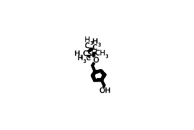 CC(C)(C)[Si](C)(C)OCc1ccc(CO)cc1